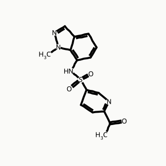 CC(=O)c1ccc(S(=O)(=O)Nc2cccc3cnn(C)c23)cn1